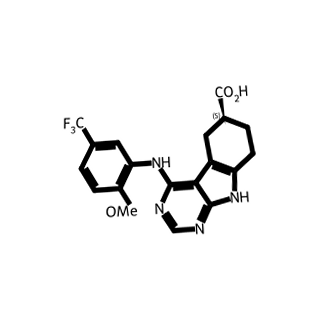 COc1ccc(C(F)(F)F)cc1Nc1ncnc2[nH]c3c(c12)C[C@@H](C(=O)O)CC3